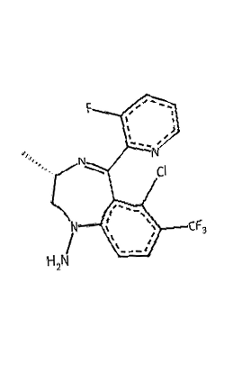 C[C@H]1CN(N)c2ccc(C(F)(F)F)c(Cl)c2C(c2ncccc2F)=N1